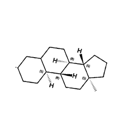 C[C@@]12CCC[C@H]1[C@@H]1CCC3C[CH]CC[C@@H]3[C@H]1CC2